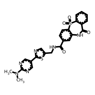 CN(C)c1ncc(-c2ncc(CNC(=O)c3ccc4c(c3)NC(=O)c3ccccc3S4(=O)=O)s2)cn1